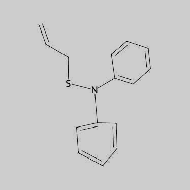 C=CCSN(c1ccccc1)c1ccccc1